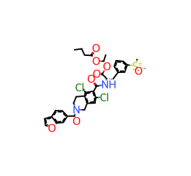 CCCC(=O)OC(C)OC(=O)[C@H](Cc1cccc([S+](C)[O-])c1)NC(=O)c1c(Cl)cc2c(c1Cl)CCN(C(=O)c1ccc3ccoc3c1)C2